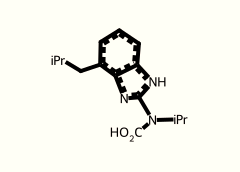 CC(C)Cc1cccc2[nH]c(N(C(=O)O)C(C)C)nc12